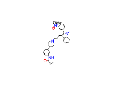 CO[N+](=O)c1cccc(-c2c(CCCN3CCC(c4cccc(NC(=O)C(C)C)c4)CC3)c3ccccc3n2C)c1